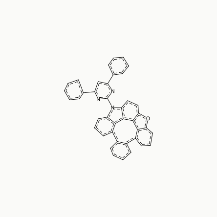 c1ccc(-c2cc(-c3ccccc3)nc(-n3c4cccc5c6ccccc6c6cccc7oc8ccc3c(c8c76)c54)n2)cc1